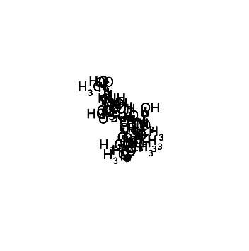 CCCC(=O)OCN(C(=O)[C@@H](NC(=O)[C@H]1CCCCN1C)C(C)CC)[C@H](C[C@@H](OC(C)=O)C(=S)S/C=C(\C)C(=O)N[C@@H](Cc1ccc(O)cc1)C[C@H](C)C(=O)NNC(=O)OCCSSC[C@H](NC(=O)[C@H](Cc1ccccc1)NC(=O)[C@H](CC(=O)O)NC(=O)NCCCC[C@H](NC(C)=O)C(=O)O)C(=O)O)C(C)C